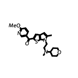 COc1ccc(C(=O)c2cc3cc(C)n(CCN(C)C4CCOCC4)c3s2)cn1